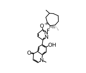 CC1CCC[C@H](C)[C@H](F)[C@H](Oc2ccc(-c3cc4c(=O)ccn(C)c4cc3O)nn2)C1